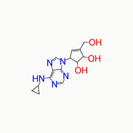 OCC1=CC(n2cnc3c(NC4CC4)ncnc32)C(O)C1O